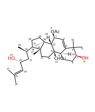 CC(=O)O[C@H]1C=C2[C@@H](CC[C@H](O)C2(C)C)[C@]2(C=O)CC[C@]3(C)C([C@H](C)C[C@@H](O)C=C(C)C)CC[C@@]3(C)[C@H]12